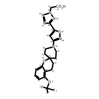 CC(F)(F)Oc1cccc2c1CCC1(CCN(c3cc(-c4nnn(CC(=O)O)n4)on3)CC1)O2